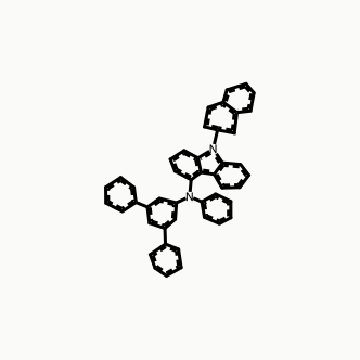 c1ccc(-c2cc(-c3ccccc3)cc(N(c3ccccc3)c3cccc4c3c3ccccc3n4-c3ccc4ccccc4c3)c2)cc1